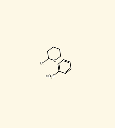 CCC1CCCCO1.O=S(=O)(O)c1ccccc1